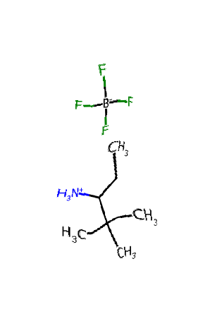 CCC([NH3+])C(C)(C)C.F[B-](F)(F)F